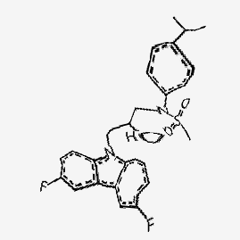 CC(C)c1ccc(N(CC(O)Cn2c3ccc(F)cc3c3cc(F)ccc32)S(C)(=O)=O)cc1